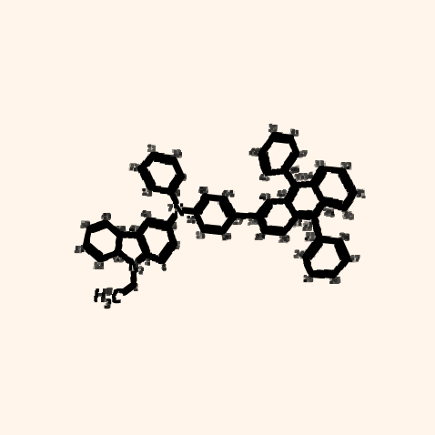 CCN1c2ccc(N(c3ccccc3)c3ccc(-c4ccc5c(-c6ccccc6)c6ccccc6c(-c6ccccc6)c5c4)cc3)cc2C2C=CC=CC21